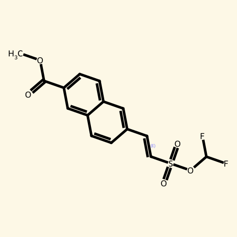 COC(=O)c1ccc2cc(/C=C/S(=O)(=O)OC(F)F)ccc2c1